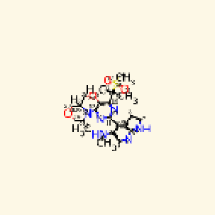 CNc1cnc2[nH]ccc2c1-c1nc2c(c(C(C)(C)S(C)(=O)=O)n1)OC[C@H]1COC[C@H](C)N21